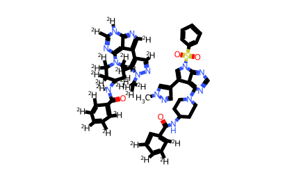 [2H]c1cc(C(=O)NC2CCN(c3ncnc4c3c(-c3cnn(C)c3)cn4S(=O)(=O)c3ccccc3)CC2)c([2H])c([2H])c1[2H].[2H]c1nc2n([2H])c([2H])nc(N3C([2H])([2H])C([2H])([2H])C([2H])(N([2H])C(=O)c4c([2H])c([2H])c([2H])c([2H])c4[2H])C([2H])([2H])C3([2H])[2H])c-2c1-c1c([2H])nn(C([2H])([2H])[2H])c1[2H]